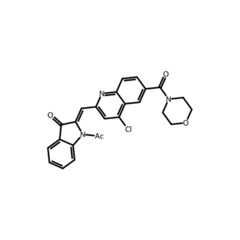 CC(=O)N1/C(=C\c2cc(Cl)c3cc(C(=O)N4CCOCC4)ccc3n2)C(=O)c2ccccc21